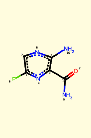 NC(=O)c1nc(F)cnc1N